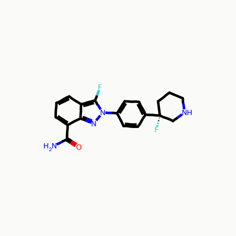 NC(=O)c1cccc2c(F)n(-c3ccc([C@@]4(F)CCCNC4)cc3)nc12